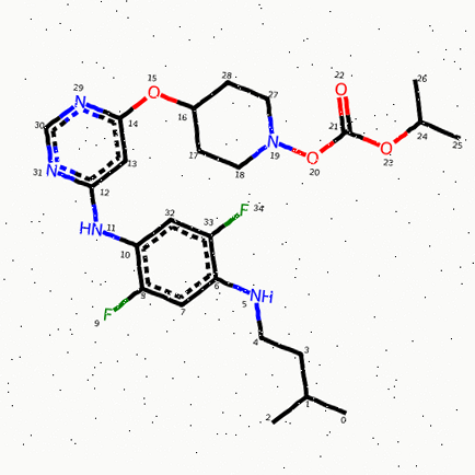 CC(C)CCNc1cc(F)c(Nc2cc(OC3CCN(OC(=O)OC(C)C)CC3)ncn2)cc1F